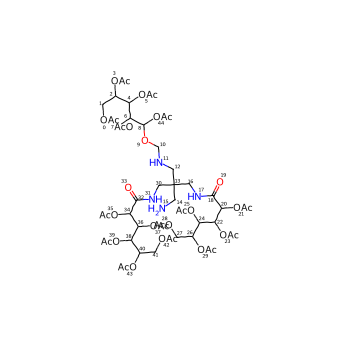 CC(=O)OCC(OC(C)=O)C(OC(C)=O)C(OC(C)=O)C(OCNCC(CN)(CNC(=O)C(OC(C)=O)C(OC(C)=O)C(OC(C)=O)C(COC(C)=O)OC(C)=O)CNC(=O)C(OC(C)=O)C(OC(C)=O)C(OC(C)=O)C(COC(C)=O)OC(C)=O)OC(C)=O